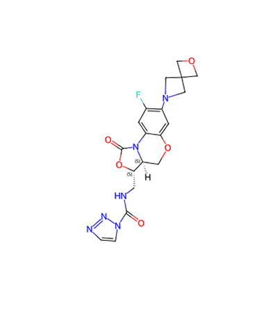 O=C1O[C@@H](CNC(=O)n2ccnn2)[C@@H]2COc3cc(N4CC5(COC5)C4)c(F)cc3N12